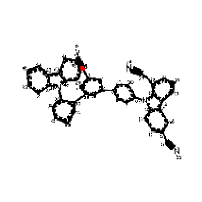 N#Cc1cc(-c2ccc(-n3c4ccc(C#N)cc4c4cccc(C#N)c43)cc2)cc(-c2ccccc2-n2c3ccccc3c3ccccc32)c1